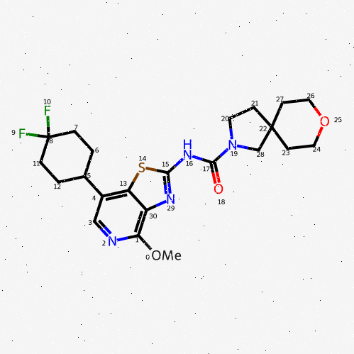 COc1ncc(C2CCC(F)(F)CC2)c2sc(NC(=O)N3CCC4(CCOCC4)C3)nc12